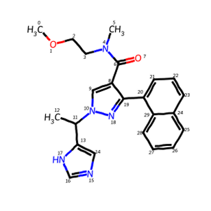 COCCN(C)C(=O)c1cn(C(C)c2cnc[nH]2)nc1-c1cccc2ccccc12